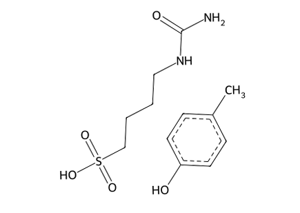 Cc1ccc(O)cc1.NC(=O)NCCCCS(=O)(=O)O